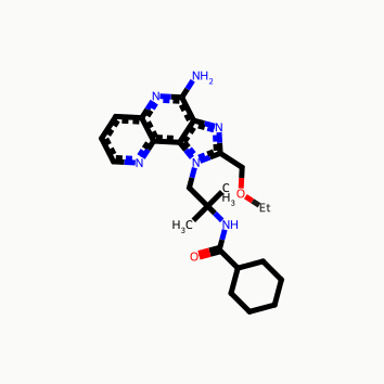 CCOCc1nc2c(N)nc3cccnc3c2n1CC(C)(C)NC(=O)C1CCCCC1